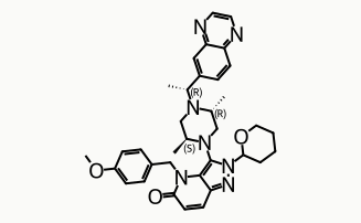 COc1ccc(Cn2c(=O)ccc3nn(C4CCCCO4)c(N4C[C@@H](C)N([C@H](C)c5ccc6nccnc6c5)C[C@@H]4C)c32)cc1